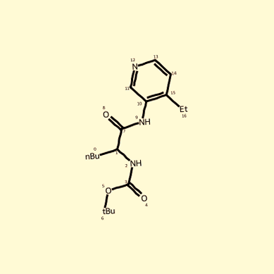 CCCCC(NC(=O)OC(C)(C)C)C(=O)Nc1cnccc1CC